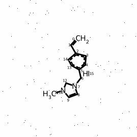 C=Cc1ccc(CN2C=CN(C)C2)cc1.I